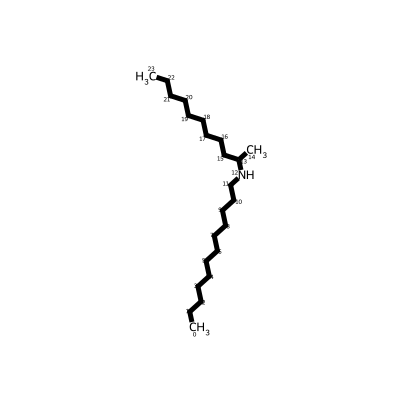 CCCCCCCCCCCCNC(C)CCCCCCCCC